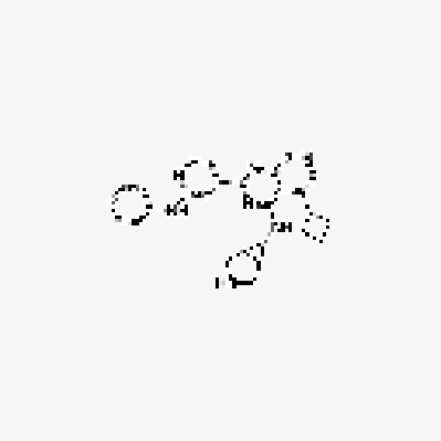 c1ccc(Nc2cc(-c3nc(NC4C5CNCC54)c4c(C5CCC5)cncc4n3)ccn2)cc1